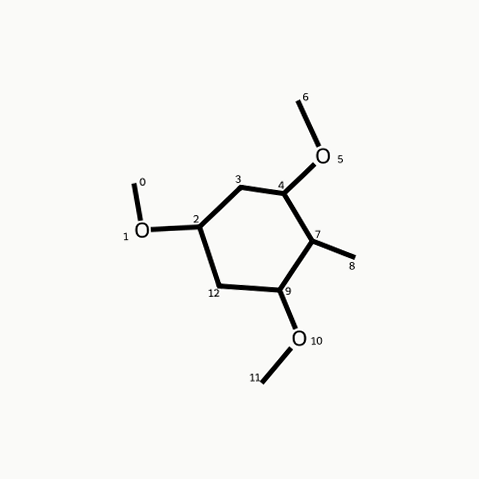 COC1CC(OC)C(C)C(OC)C1